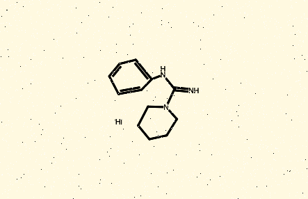 I.N=C(Nc1ccccc1)N1CCCCC1